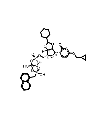 O=c1nc(SCC2CC2)ccn1[C@@H]1O[C@H](COP(=O)(O)OP(=O)(O)OP(=O)(O)Cc2cccc3ccccc23)[C@@H]2OC(C3CCCCC3)OC21